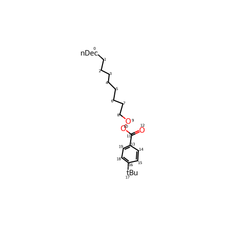 [CH2]CCCCCCCCCCCCCCCCCOOC(=O)c1ccc(C(C)(C)C)cc1